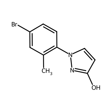 Cc1cc(Br)ccc1-n1ccc(O)n1